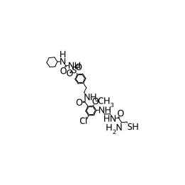 COc1c(NCCNC(=O)C(N)CS)cc(Cl)cc1C(=O)NCCc1ccc(S(=O)(=O)NC(=O)NC2CCCCC2)cc1